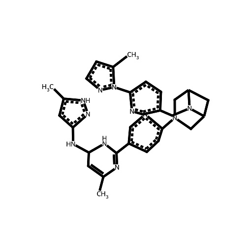 CC1=CC(Nc2cc(C)[nH]n2)NC(c2ccc(N3CC4CC(C3)N4Cc3ccc(-n4nccc4C)nc3)nc2)=N1